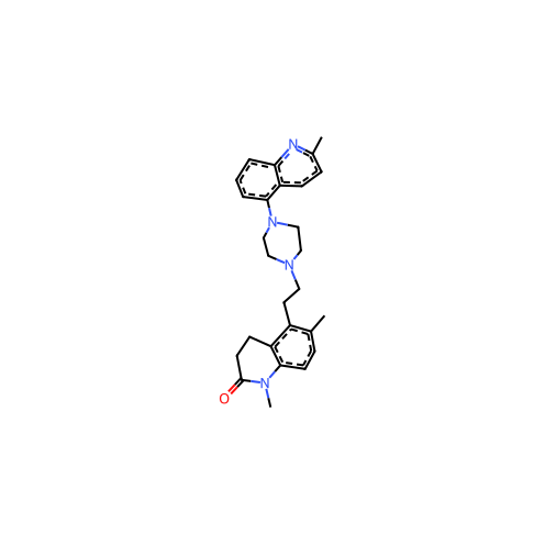 Cc1ccc2c(N3CCN(CCc4c(C)ccc5c4CCC(=O)N5C)CC3)cccc2n1